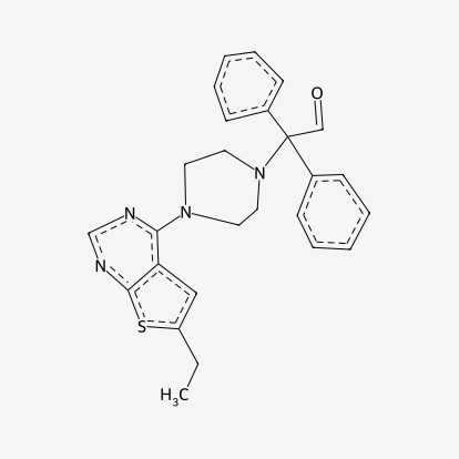 CCc1cc2c(N3CCN(C(C=O)(c4ccccc4)c4ccccc4)CC3)ncnc2s1